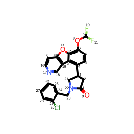 O=C1CC(c2ccc(OC(F)F)c3oc4ccncc4c23)CN1Cc1ccccc1Cl